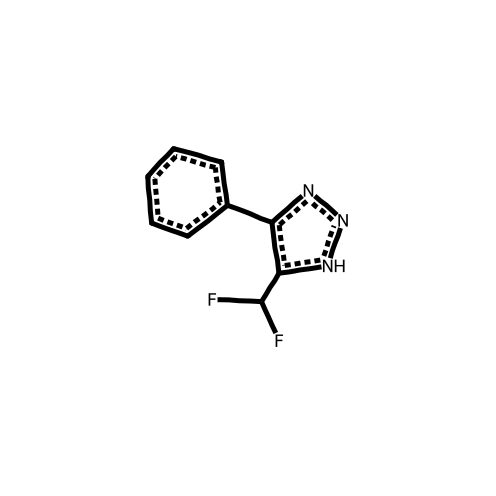 FC(F)c1[nH]nnc1-c1ccccc1